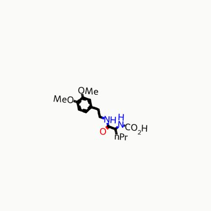 CCCC(NC(=O)O)C(=O)NCCc1ccc(OC)c(OC)c1